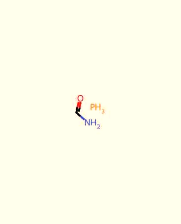 NC=O.P